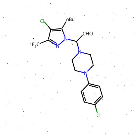 CCCCc1c(Cl)c(C(F)(F)F)nn1C(C=O)N1CCN(c2ccc(Cl)cc2)CC1